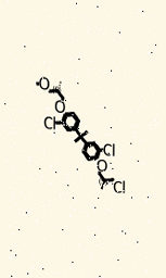 COC[C@H](C)COc1ccc(C(C)(C)c2ccc(OC[C@H](C)CCl)c(Cl)c2)cc1Cl